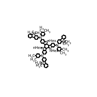 CCCCCCn1c2cc(N(c3ccc(C)c(C)c3)c3ccc4c(c3)[N+](C)(C)c3ccccc3-4)ccc2c2c1c1c3ccc(N(c4ccc(C)c(C)c4)c4ccc5c(c4)[N+](C)(C)c4ccccc4-5)cc3n(CCCCCC)c1c1c3ccc(N(c4ccc(C)c(C)c4)c4ccc5c(c4)[N+](C)(C)c4ccccc4-5)cc3n(CCCCCC)c21